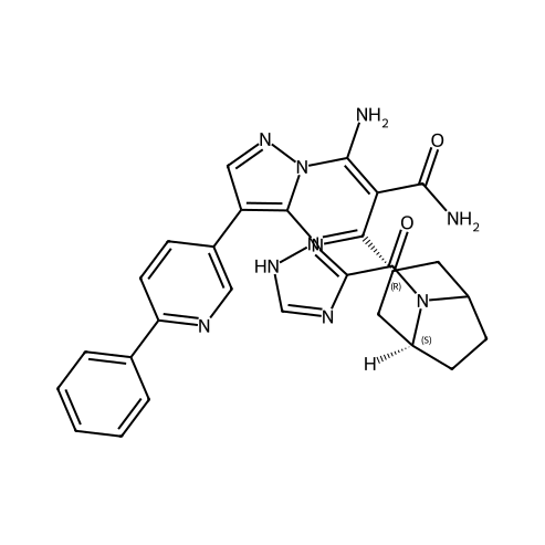 NC(=O)c1c([C@@H]2CC3CC[C@@H](C2)N3C(=O)c2nc[nH]n2)nc2c(-c3ccc(-c4ccccc4)nc3)cnn2c1N